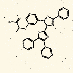 CC(Oc1cccc(C2OC(c3ccccc3)=NC2c2nc(-c3ccccc3)c(-c3ccccc3)o2)c1)C(=O)O